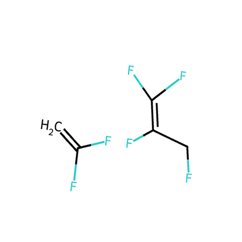 C=C(F)F.FCC(F)=C(F)F